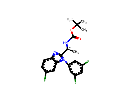 C[C@H](NC(=O)OC(C)(C)C)c1nc2ccc(F)cc2n1-c1cc(F)cc(F)c1